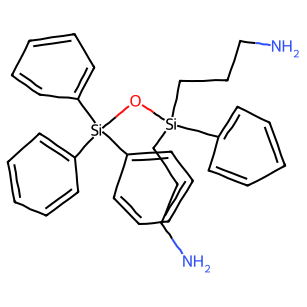 NCCC[Si](CCCN)(O[Si](c1ccccc1)(c1ccccc1)c1ccccc1)c1ccccc1